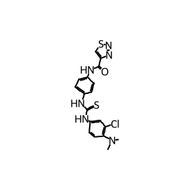 CN(C)c1ccc(NC(=S)Nc2ccc(NC(=O)c3csnn3)cc2)cc1Cl